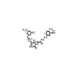 Cc1cc(Cl)cc(SN2CC(C(=O)NC(CNC(=O)CCCCc3ccc4c(n3)NCCC4)C(=O)O)C2)c1